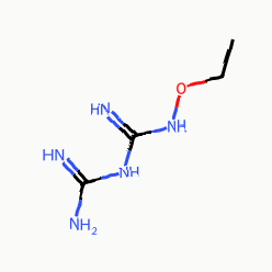 CCONC(=N)NC(=N)N